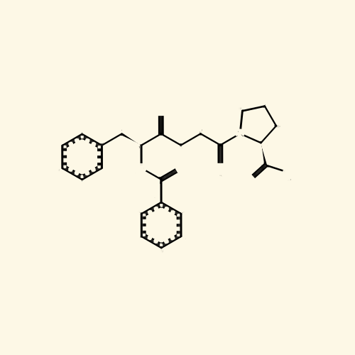 O=C(O[C@@H](Cc1ccccc1)C(=O)CCC(=O)N1CCC[C@H]1C(=O)O)c1ccccc1